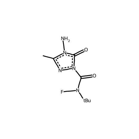 Cc1nn(C(=O)N(F)C(C)(C)C)c(=O)n1N